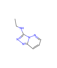 CCNc1nnc2cc[c]nn12